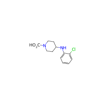 O=C(O)N1CCC(Nc2ccccc2Cl)CC1